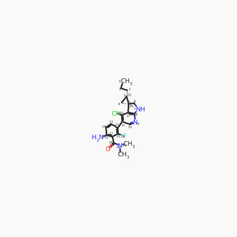 CCC[C@H]1C[C@@]12CNc1ncc(-c3ccc(N)c(C(=O)N(C)C)c3F)c(Cl)c12